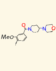 COc1cc(C(=O)N2CCC(N3CCOCC3)CC2)ccc1C